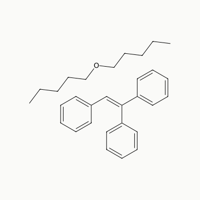 C(=C(c1ccccc1)c1ccccc1)c1ccccc1.CCCCCOCCCCC